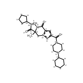 CN1C(=O)c2cc(C(=O)N3CCN(C4CCCCC4)CC3)nn2CC1(C)C(=O)NC1CCCC1